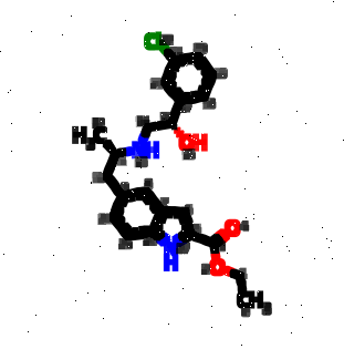 CCOC(=O)c1cc2cc(C[C@@H](C)NC[C@@H](O)c3cccc(Cl)c3)ccc2[nH]1